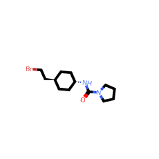 O=C(N[C@H]1CC[C@H](CCBr)CC1)N1CCCC1